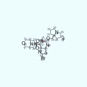 CC(C)(C)OC(=O)N1C2COCC1CN(c1nc(OC[C@@]34CCCN3C[C@H](F)C4)nc3sc(Br)nc13)C2